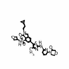 Cc1nc(Nc2cccc(N3CCOCC3=O)n2)sc1-c1cc2c(c(S(=O)(=O)NC3COC3)c1)C(=O)N(CCC1CC1)C2